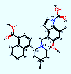 COC(=O)c1ccc([C@H]2C[C@H](C)CCN2Cc2c(OC)cc(C)c3c2ccn3C(=O)O)c2c1CCCC2